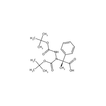 CC(C)(C)OC(=O)NN(C(=O)OC(C)(C)C)[C@@](C)(C(=O)O)c1ccccc1